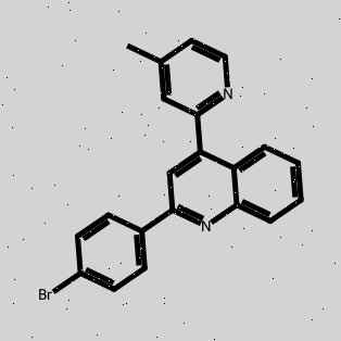 Cc1ccnc(-c2cc(-c3ccc(Br)cc3)nc3ccccc23)c1